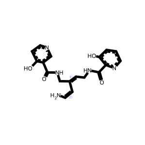 N/C=C\C(=C/CNC(=O)c1ncccc1O)CNC(=O)c1cnccc1O